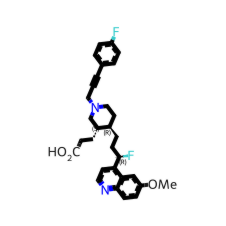 COc1ccc2nccc([C@H](F)CC[C@@H]3CCN(CC#Cc4ccc(F)cc4)C[C@H]3CCC(=O)O)c2c1